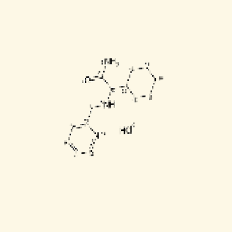 Cl.NC(=O)C(NCc1ccccn1)C1CCCCC1